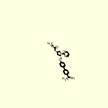 COC(=O)C[C@@H]1C[C@@H](COc2ccc(-c3ccc(C(=N)N)cc3)cc2)N(c2ncccn2)C1